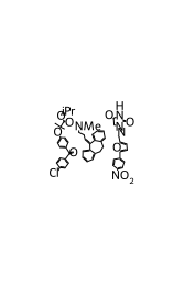 CC(C)OC(=O)C(C)(C)Oc1ccc(C(=O)c2ccc(Cl)cc2)cc1.CNCCC=C1c2ccccc2CCc2ccccc21.O=C1CN(N=Cc2ccc(-c3ccc([N+](=O)[O-])cc3)o2)C(=O)N1